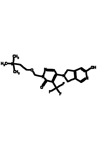 C[Si](C)(C)CCOCn1ncc(N2Cc3cnc(O)cc3C2)c(C(F)(F)F)c1=O